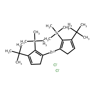 CC(C)(C)C1=CC[C]([Zr+2][C]2=C([Si](C)(C)C)C(C(C)(C)C)=CC2)=C1[Si](C)(C)C.[Cl-].[Cl-]